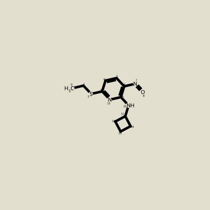 CCSc1ccc(N=O)c(NC2CCC2)n1